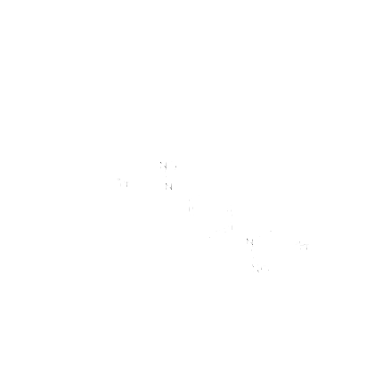 CC(C)CN(N=O)c1ccc(N(CC(C)C)N=O)cc1